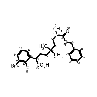 CN(CCC(C)(C)CCC(C(=O)O)c1cccc(Br)c1F)C(=O)OCc1ccccc1